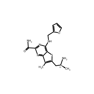 Cc1c(C[C@H](C)N)sc2c(NCc3ccco3)nc(C(N)=O)nc12